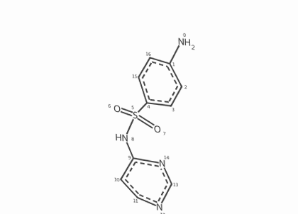 Nc1ccc(S(=O)(=O)Nc2ccncn2)cc1